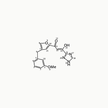 COc1cccc(Cc2coc(C(=O)C=C(O)c3nc[nH]n3)c2)c1